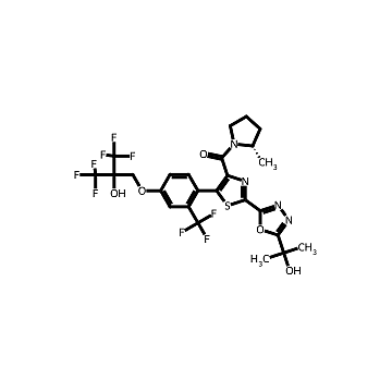 C[C@H]1CCCN1C(=O)c1nc(-c2nnc(C(C)(C)O)o2)sc1-c1ccc(OCC(O)(C(F)(F)F)C(F)(F)F)cc1C(F)(F)F